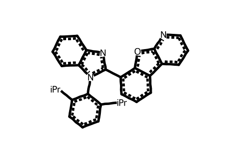 CC(C)c1cccc(C(C)C)c1-n1c(-c2cccc3c2oc2ncccc23)nc2ccccc21